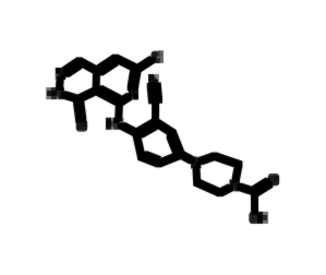 N#Cc1cc(N2CCN(C(=O)O)CC2)ccc1Nc1nc(Cl)cc2cn[nH]c(=O)c12